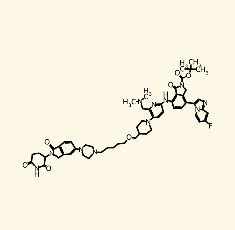 CN(C)Cc1nc(Nc2ccc(-c3cnc4cc(F)ccn34)c3c2C(=O)N(C(=O)OC(C)(C)C)C3)ccc1N1CCC(COCCCCCN2CCN(c3ccc4c(c3)CN(C3CCC(=O)NC3=O)C4=O)CC2)CC1